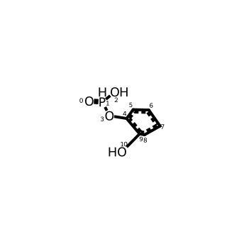 O=[PH](O)Oc1ccccc1O